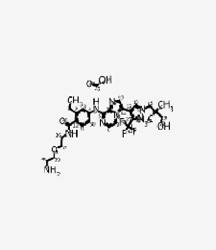 CCc1cc(Nc2nccn3c(-c4cn(CC(C)(C)CO)nc4C(F)(F)F)cnc23)ccc1C(=O)NCCOCCN.O=CO